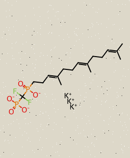 CC(C)=CCC/C(C)=C/CC/C(C)=C/CCP(=O)([O-])C(F)(F)P(=O)([O-])[O-].[K+].[K+].[K+]